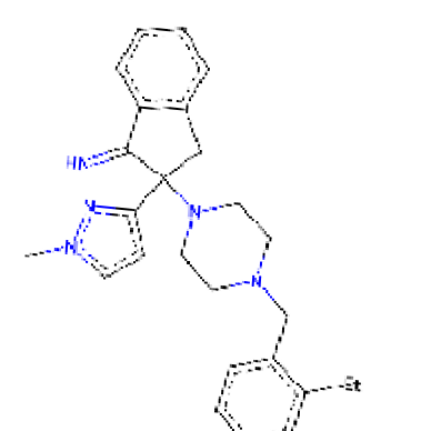 CCc1ccccc1CN1CCN(C2(c3ccn(C)n3)Cc3ccccc3C2=N)CC1